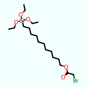 CCO[Si](CCCCCCCCCCCOC(=O)CBr)(OCC)OCC